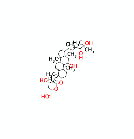 C[C@H](CC[C@@H](O)C(C)(C)O)C1CC[C@@]2(C)C3CC=C4C(CC[C@H](O[C@H]5C[C@@H](O)C[C@@H](CO)O5)C4(C)C)[C@]3(C)C(O)C[C@]12C